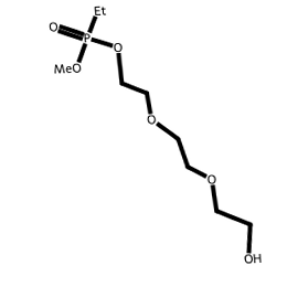 CCP(=O)(OC)OCCOCCOCCO